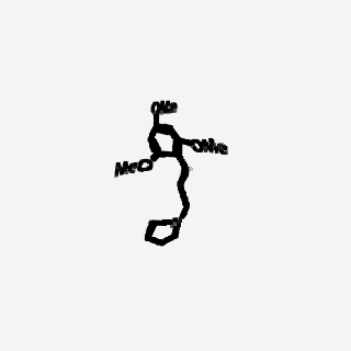 COc1cc(OC)c([CH]CCN2CCCC2)c(OC)c1